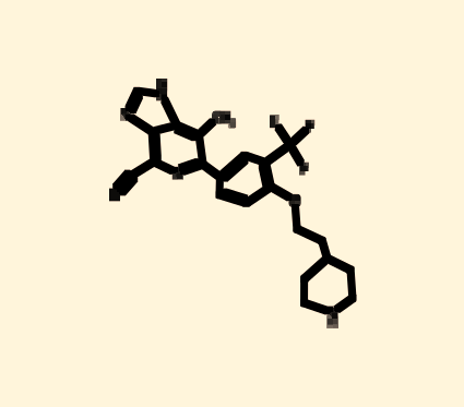 Cc1c(-c2ccc(OCCC3CCNCC3)c(C(F)(F)F)c2)nc(C#N)c2nc[nH]c12